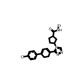 CCNC(=O)C1CCC(n2cnnc2C2=CC=C(c3ccc(Cl)cc3)CC2)C1